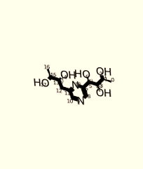 C[C@H](O)[C@@H](O)[C@@H](O)c1cncc(C[C@H](O)[C@H](C)O)n1